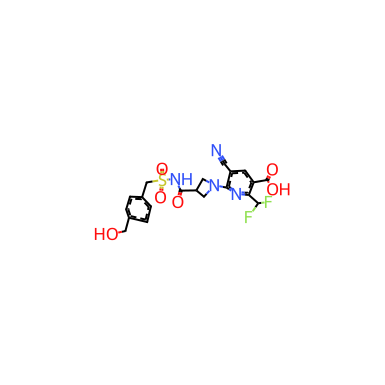 N#Cc1cc(C(=O)O)c(C(F)F)nc1N1CC(C(=O)NS(=O)(=O)Cc2ccc(CO)cc2)C1